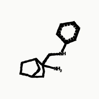 NC1(CNc2ccccc2)CC2CCC1C2